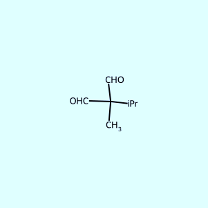 [CH2]C(C)C(C)(C=O)C=O